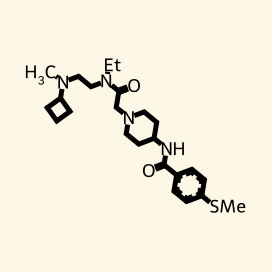 CCN(CCN(C)C1CCC1)C(=O)CN1CCC(NC(=O)c2ccc(SC)cc2)CC1